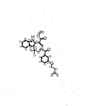 CC(C)OC(=O)C1=CN(C(=O)c2cccc(OCCN(C)C)c2)CC(C)(C)c2c1[nH]c1ccccc21